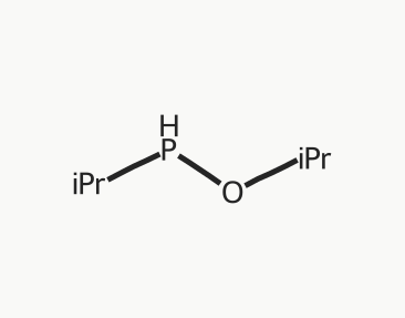 CC(C)OPC(C)C